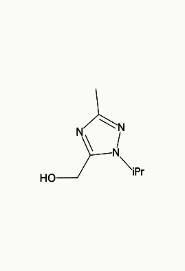 Cc1nc(CO)n(C(C)C)n1